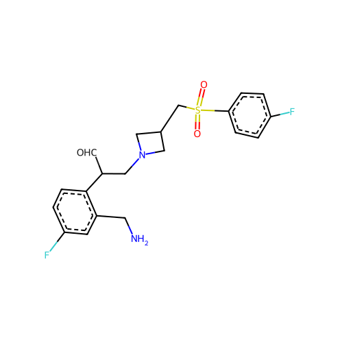 NCc1cc(F)ccc1C(C=O)CN1CC(CS(=O)(=O)c2ccc(F)cc2)C1